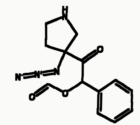 [N-]=[N+]=NC1(C(=O)C(OC=O)c2ccccc2)CCNC1